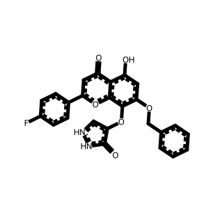 O=c1[nH][nH]cc1Oc1c(OCc2ccccc2)cc(O)c2c(=O)cc(-c3ccc(F)cc3)oc12